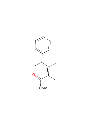 COC(=O)C(C)=C(C)C(C)c1ccccc1